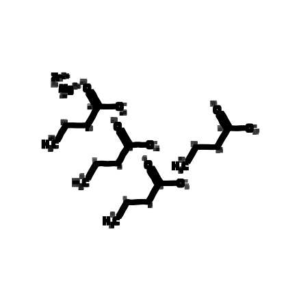 CCCC(=O)[O-].CCCC(=O)[O-].CCCC(=O)[O-].CCCC(=O)[O-].[Mg+2].[Zn+2]